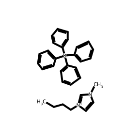 CCCC[n+]1ccn(C)c1.c1ccc([B-](c2ccccc2)(c2ccccc2)c2ccccc2)cc1